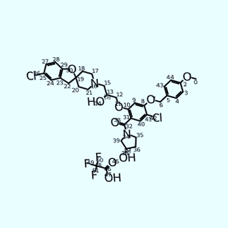 COc1ccc(COc2cc(OC[C@@H](O)CN3CCC4(CC3)Cc3cc(Cl)ccc3O4)c(C(=O)N3CC[C@H](O)C3)cc2Cl)cc1.O=C(O)C(F)(F)F